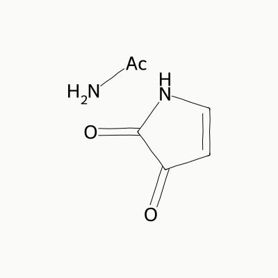 CC(N)=O.O=C1C=CNC1=O